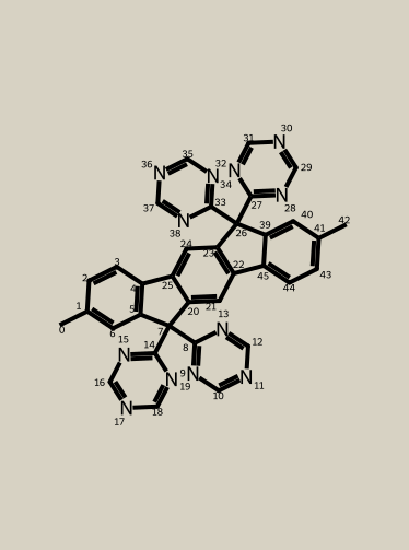 Cc1ccc2c(c1)C(c1ncncn1)(c1ncncn1)c1cc3c(cc1-2)C(c1ncncn1)(c1ncncn1)c1cc(C)ccc1-3